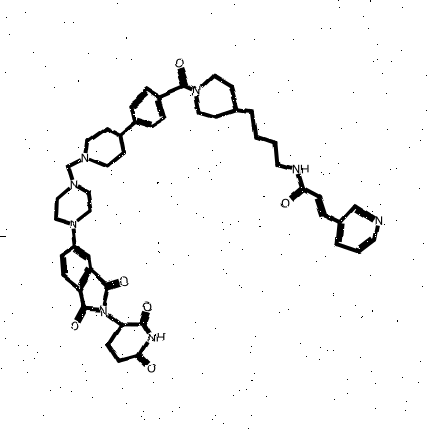 O=C(/C=C/c1cccnc1)NCCCCC1CCN(C(=O)c2ccc(C3CCN(CN4CCN(c5ccc6c(c5)C(=O)N(C5CCC(=O)NC5=O)C6=O)CC4)CC3)cc2)CC1